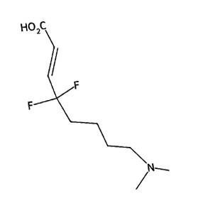 CN(C)CCCCC(F)(F)/C=C/C(=O)O